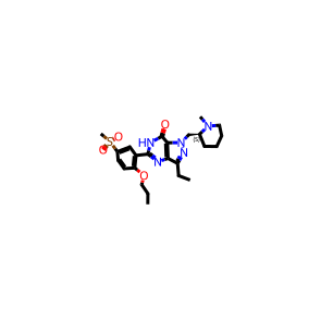 CCCOc1ccc(S(C)(=O)=O)cc1-c1nc2c(CC)nn(C[C@@H]3CCCCN3C)c2c(=O)[nH]1